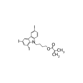 C=C(C)C(=O)OCCCCn1c2ccc(I)cc2c2cc(I)cc(I)c21